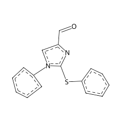 O=Cc1cn(-c2ccccc2)c(Sc2ccccc2)n1